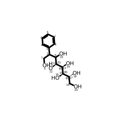 OCC(c1ccccc1)C(O)[C@H](O)[C@@H](O)[C@H](O)[C@H](O)CO